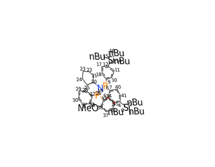 CCCC[Si](CCCC)(CCCC)c1ccc(P(c2ccc([Si](CCCC)(CCCC)CCCC)cc2)N(C2CCCCC2)P(c2ccccc2)c2ccccc2OC)cc1